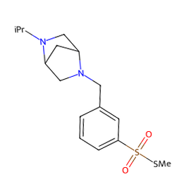 CSS(=O)(=O)c1cccc(CN2CC3CC2CN3C(C)C)c1